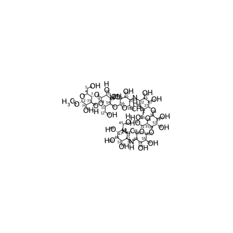 CO[C@@H]1OC(CO)[C@H](O[C@@H]2OC(CO)[C@H](O[C@@H]3OC(C)[C@H](N[C@@H]4C=C(CO)[C@H](O[C@@H]5OC(CO)[C@H](O[C@@H]6OC(C)[C@H](N[C@@H]7C=C(CO)[C@@H](O)[C@@H](O)C7O)[C@@H](O)C6O)[C@@H](O)C5O)[C@@H](O)C4O)[C@@H](O)C3O)[C@@H](O)C2O)[C@@H](O)C1O